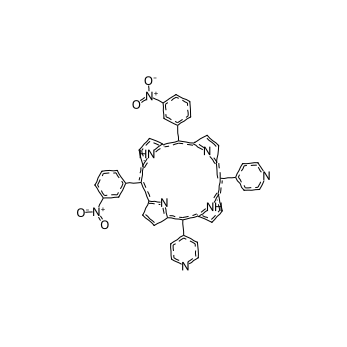 O=[N+]([O-])c1cccc(-c2c3nc(c(-c4ccncc4)c4ccc([nH]4)c(-c4ccncc4)c4nc(c(-c5cccc([N+](=O)[O-])c5)c5ccc2[nH]5)C=C4)C=C3)c1